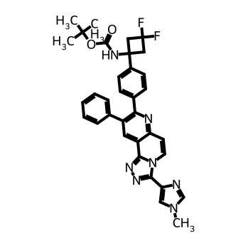 Cn1cnc(-c2nnc3c4cc(-c5ccccc5)c(-c5ccc(C6(NC(=O)OC(C)(C)C)CC(F)(F)C6)cc5)nc4ccn23)c1